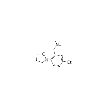 CCc1ccc([C@@H]2CCCO2)c(CN(C)C)n1